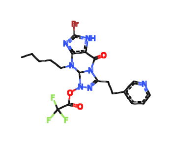 CCCCCN1c2nc(Br)[nH]c2C(=O)N2C(CCc3cccnc3)=NN(OC(=O)C(F)(F)F)C21